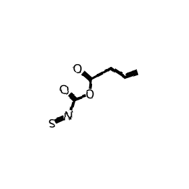 C=CCC(=O)OC(=O)N=S